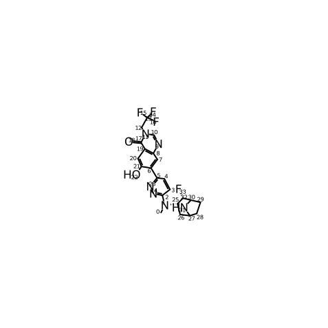 CN(c1ccc(-c2cc3ncn(CC(F)(F)F)c(=O)c3cc2O)nn1)[C@H]1CC2CCC(N2)[C@H]1F